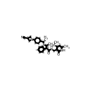 CSc1cc(C)[nH]c(=O)c1CNC(=O)c1c(C)n([C@H](C)C2CCC(N3CC(C#N)C3)CC2)c2ccccc12